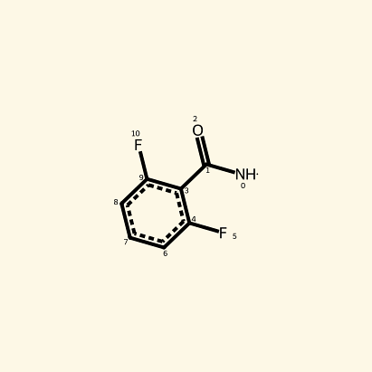 [NH]C(=O)c1c(F)cccc1F